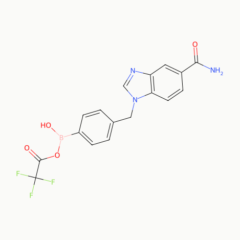 NC(=O)c1ccc2c(c1)ncn2Cc1ccc(B(O)OC(=O)C(F)(F)F)cc1